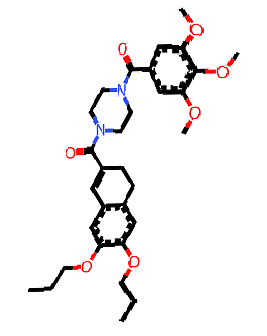 CCCOc1cc2c(cc1OCCC)CCC(C(=O)N1CCN(C(=O)c3cc(OC)c(OC)c(OC)c3)CC1)=C2